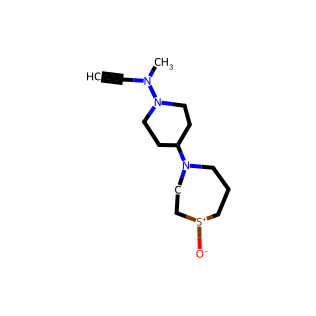 C#CN(C)N1CCC(N2CCC[S+]([O-])CC2)CC1